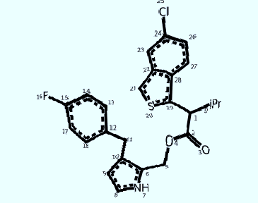 CC(C)C(C(=O)OCc1[nH]ccc1Cc1ccc(F)cc1)c1scc2cc(Cl)ccc12